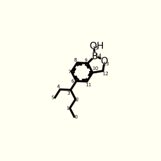 CCCC(CC)c1ccc2c(c1)COB2O